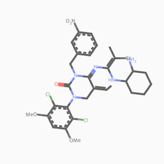 C/C=C1/CN(c2c(Cl)c(OC)cc(OC)c2Cl)C(=O)N(Cc2cccc([N+](=O)[O-])c2)/C1=N/C(NC1CCCCC1N)=C(\C)CC